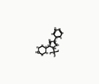 CC(C)(C)n1nc(-c2c[c]cnc2)nc1C1CCOCC1